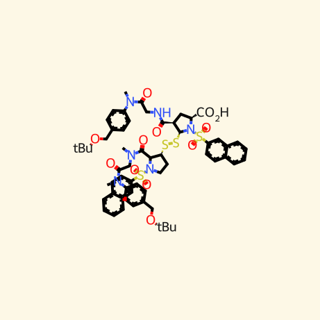 CN(CC(=O)N(C)c1ccc(COC(C)(C)C)cc1)C(=O)C1[C@H](SS[C@H]2[C@@H](C(=O)NCC(=O)N(C)c3ccc(COC(C)(C)C)cc3)C[C@@H](C(=O)O)N2S(=O)(=O)c2ccc3ccccc3c2)CCN1S(=O)(=O)c1ccc2ccccc2c1